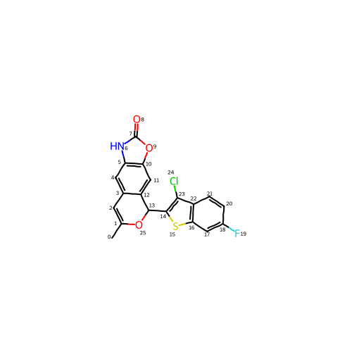 CC1=Cc2cc3[nH]c(=O)oc3cc2C(c2sc3cc(F)ccc3c2Cl)O1